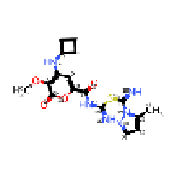 COc1c(NC2CCC2)cc(C(=O)NC(=N)SC(=N)n2nccc2C)oc1=O